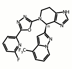 Fc1cccc(-c2nnc(N3CCc4[nH]cnc4[C@H]3c3cc4c(C(F)(F)F)cccn4n3)o2)n1